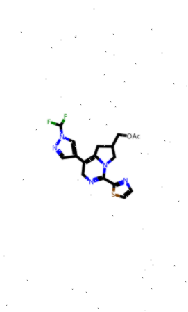 CC(=O)OCC1CC2=C(c3cnn(C(F)F)c3)CN=C(c3nccs3)N2C1